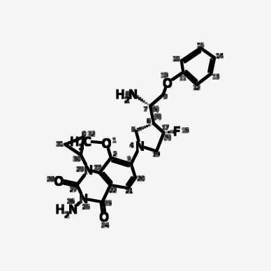 COc1c(N2C[C@H]([C@H](N)COc3ccccc3)[C@H](F)C2)ccc2c(=O)n(N)c(=O)n(C3CC3)c12